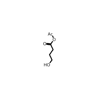 CC(=O)OC(=O)CCCO